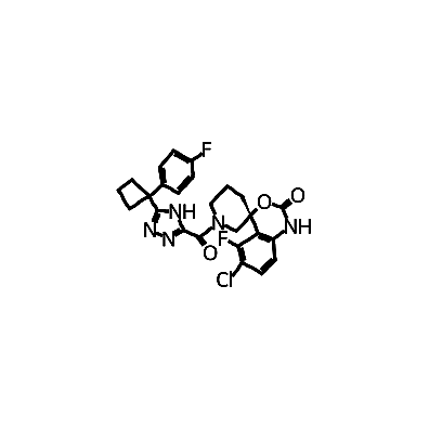 O=C1Nc2ccc(Cl)c(F)c2[C@@]2(CCCN(C(=O)c3nnc(C4(c5ccc(F)cc5)CCC4)[nH]3)C2)O1